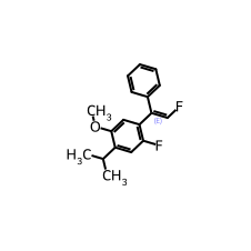 COc1cc(/C(=C/F)c2ccccc2)c(F)cc1C(C)C